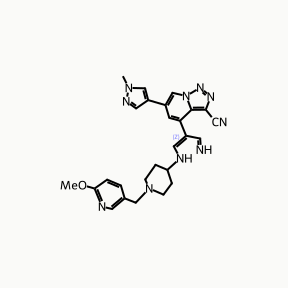 COc1ccc(CN2CCC(N/C=C(\C=N)c3cc(-c4cnn(C)c4)cn4nnc(C#N)c34)CC2)cn1